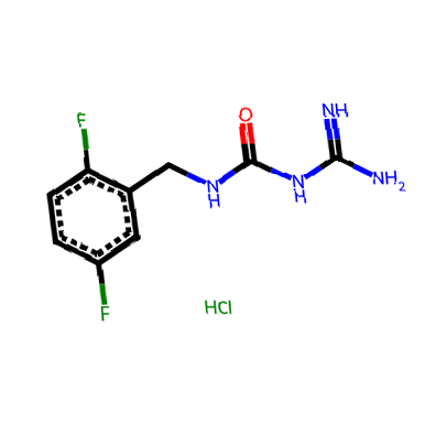 Cl.N=C(N)NC(=O)NCc1cc(F)ccc1F